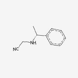 CC(NCC#N)c1ccccc1